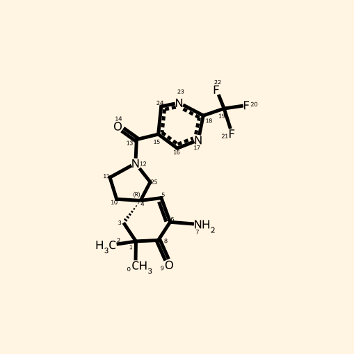 CC1(C)C[C@]2(C=C(N)C1=O)CCN(C(=O)c1cnc(C(F)(F)F)nc1)C2